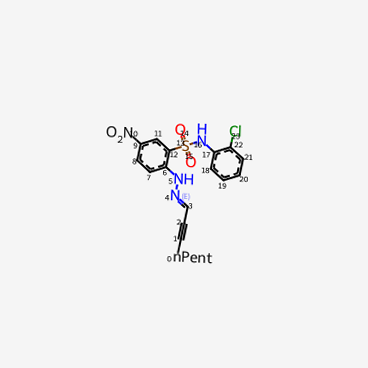 CCCCCC#C/C=N/Nc1ccc([N+](=O)[O-])cc1S(=O)(=O)Nc1ccccc1Cl